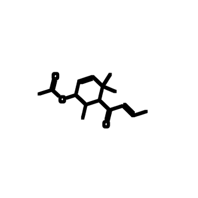 CC=CC(=O)C1C(C)C(OC(C)=O)C=CC1(C)C